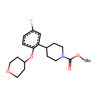 CC(C)(C)OC(=O)N1CCC(c2cc(F)ccc2OC2CCOCC2)CC1